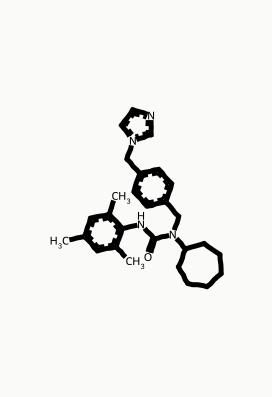 Cc1cc(C)c(NC(=O)N(Cc2ccc(Cn3ccnc3)cc2)C2CCCCCC2)c(C)c1